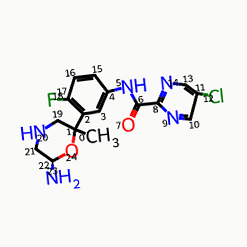 CC1(c2cc(NC(=O)c3ncc(Cl)cn3)ccc2F)CNC[C@H](N)O1